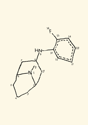 CN1C2CCCC1CC(Nc1ccccc1F)C2